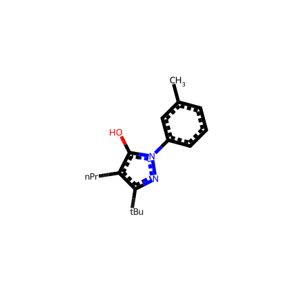 CCCc1c(C(C)(C)C)nn(-c2cccc(C)c2)c1O